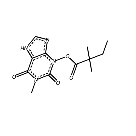 CCC(C)(C)C(=O)On1c(=O)n(C)c(=O)c2[nH]cnc21